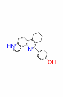 Oc1ccc(-c2nc3c(ccc4[nH]ccc43)c3c2CCCC3)cc1